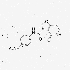 CC(=O)Nc1ccc(NC(=O)c2coc3c2C(=O)NCC3)cc1